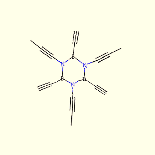 C#CB1N(C#CC)B(C#C)N(C#CC)B(C#C)N1C#CC